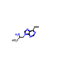 CSc1ncnc2c1ncn2CC(N)C(=O)O